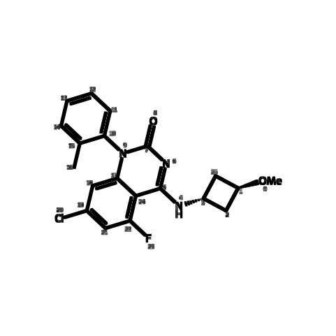 CO[C@H]1C[C@H](Nc2nc(=O)n(-c3ccccc3C)c3cc(Cl)cc(F)c23)C1